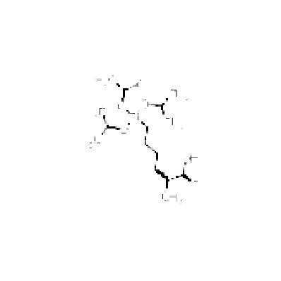 CC(=CCC[CH][Si](OC(C)C)(OC(C)C)OC(C)C)C(=O)O